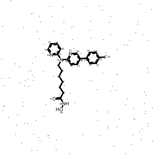 O=C(CCCCCCN(c1ccccn1)c1ccc(-c2ccc(F)cc2)cn1)NO